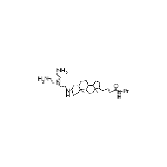 CC(C)NC(=O)CCCC1CCC2C3CCC4CC(NCCN(CCN)CCN)CCC4(C)C3CCC12C